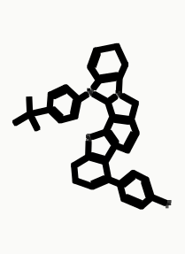 CC(C)(C)c1ccc(N2C3=C(CCC=C3)N3Cc4ccc5c6c(sc5c4C32)CCC=C6c2ccc(F)cc2)cc1